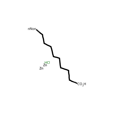 CCCCCCCCCCCCCCCCCC(=O)O.Cl.[Zn].[Zn]